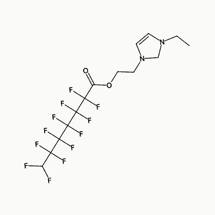 CCN1C=CN(CCOC(=O)C(F)(F)C(F)(F)C(F)(F)C(F)(F)C(F)(F)C(F)F)C1